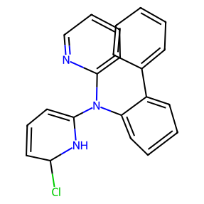 ClC1C=CC=C(N(c2ccccn2)c2ccccc2-c2ccccc2)N1